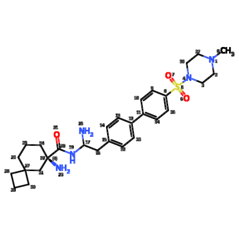 CN1CCN(S(=O)(=O)c2ccc(-c3ccc(CC(N)NC(=O)[C@@]4(N)CCCC5(CCC5)C4)cc3)cc2)CC1